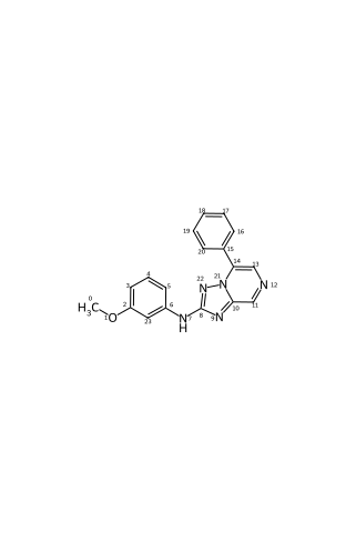 COc1cccc(Nc2nc3cncc(-c4ccccc4)n3n2)c1